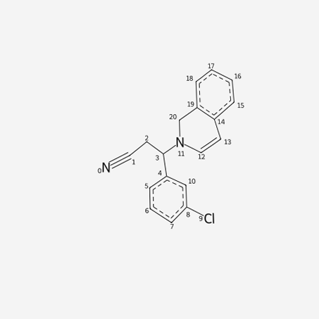 N#CCC(c1cccc(Cl)c1)N1C=Cc2ccccc2C1